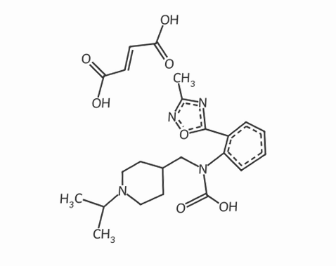 Cc1noc(-c2ccccc2N(CC2CCN(C(C)C)CC2)C(=O)O)n1.O=C(O)C=CC(=O)O